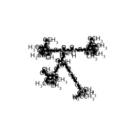 CC(=O)NC1C(OCCOCCNC(=O)CCC(NC(=O)CCC(NC(=O)CCOCCOCCOCCOCCOP(OCC#N)N(C(C)C)C(C)C)C(=O)NCCOCCOC2OC(COC(C)=O)C(OC(C)=O)C(OC(C)=O)C2NC(C)=O)C(=O)NCCOCCOC2OC(COC(C)=O)C(OC(C)=O)C(OC(C)=O)C2NC(C)=O)OC(COC(C)=O)C(OC(C)=O)C1OC(C)=O